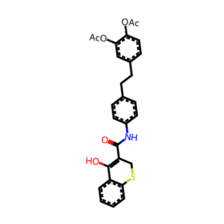 CC(=O)Oc1ccc(CCc2ccc(NC(=O)C3=C(O)c4ccccc4SC3)cc2)cc1OC(C)=O